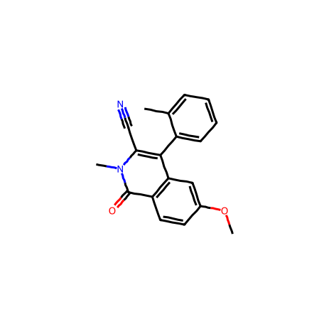 COc1ccc2c(=O)n(C)c(C#N)c(-c3ccccc3C)c2c1